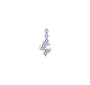 COc1cc(N2CCN(C3CCN(C)CC3)CC2)ccc1Nc1ncc(C(F)(F)F)c(NCc2ccc(C)cc2N(C)S(C)(=O)=O)n1